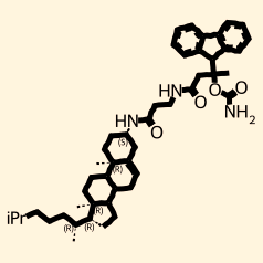 CC(C)CCC[C@@H](C)[C@H]1CCC2C3CC=C4C[C@@H](NC(=O)CCNC(=O)CC(C)(OC(N)=O)C5c6ccccc6-c6ccccc65)CC[C@]4(C)C3CC[C@@]21C